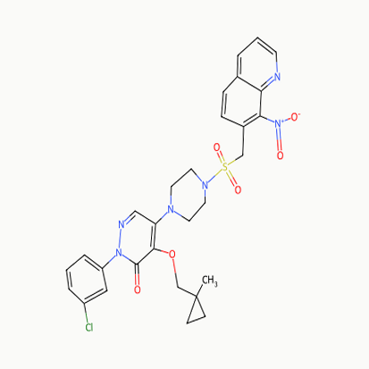 CC1(COc2c(N3CCN(S(=O)(=O)Cc4ccc5cccnc5c4[N+](=O)[O-])CC3)cnn(-c3cccc(Cl)c3)c2=O)CC1